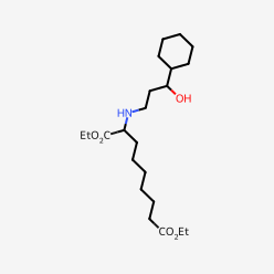 CCOC(=O)CCCCCCC(NCCC(O)C1CCCCC1)C(=O)OCC